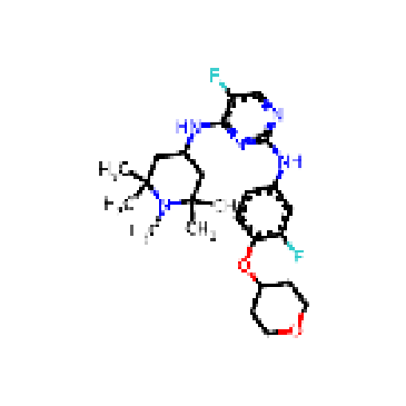 CN1C(C)(C)CC(Nc2nc(Nc3ccc(OC4CCOCC4)c(F)c3)ncc2F)CC1(C)C